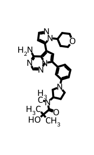 CN(C(=O)C(C)(C)O)C1CCN(c2cccc(-c3cc(-c4ccnn4C4CCOCC4)c4c(N)ncnn34)c2)C1